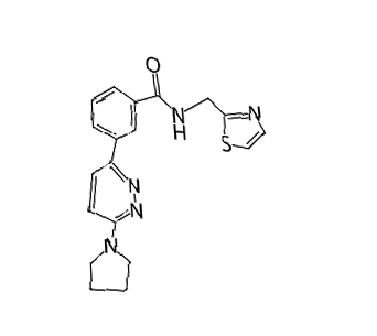 O=C(NCc1nccs1)c1cccc(-c2ccc(N3CCCC3)nn2)c1